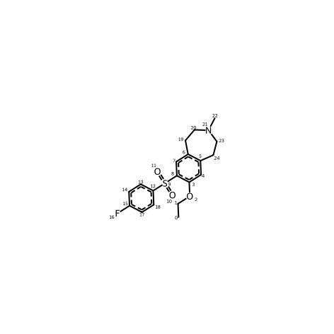 CCOc1cc2c(cc1S(=O)(=O)c1ccc(F)cc1)CCN(C)CC2